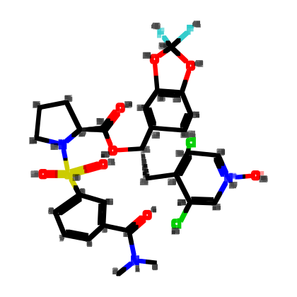 CN(C)C(=O)c1cccc(S(=O)(=O)N2CCC[C@H]2C(=O)O[C@@H](Cc2c(Cl)c[n+]([O-])cc2Cl)c2ccc3c(c2)OC(F)(F)O3)c1